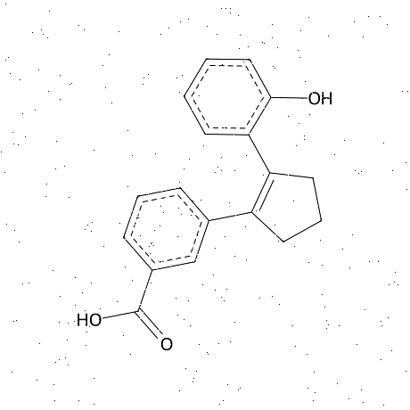 O=C(O)c1cccc(C2=C(c3ccccc3O)CCC2)c1